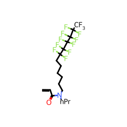 C=CC(=O)N(CCC)CCCCCCC(F)(F)C(F)(F)C(F)(F)C(F)(F)C(F)(F)C(F)(F)F